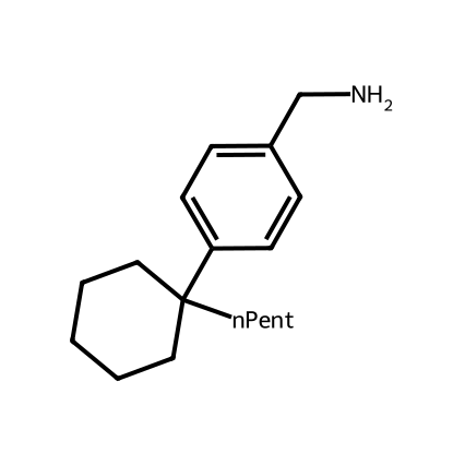 CCCCCC1(c2ccc(CN)cc2)CCCCC1